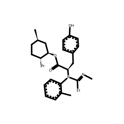 CC/C(=N\C)N(c1ccccc1C)[C@H](Cc1ccc(O)cc1)C(=O)O[C@@H]1C[C@H](C)CC[C@H]1C(C)C